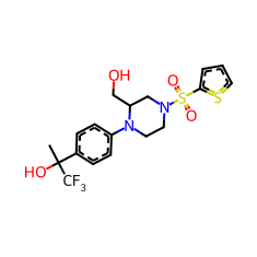 CC(O)(c1ccc(N2CCN(S(=O)(=O)c3cccs3)CC2CO)cc1)C(F)(F)F